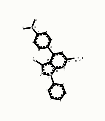 CC(C)c1nn(-c2ccccc2)c2nc(C(=O)O)cc(-c3ccc(N(C)C)cc3)c12